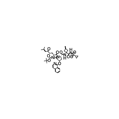 C=C1CC(NC(=O)[C@@H]2C[C@@H](Oc3nccc4ccccc34)CN2C(=O)[C@H](CCC(=O)C=C(C)C)NC(=O)OC(C)(C)C)(C(=O)NS(=O)(=O)C2CC2)C1